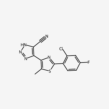 Cc1sc(-c2ccc(F)cc2Cl)nc1-c1nn[nH]c1C#N